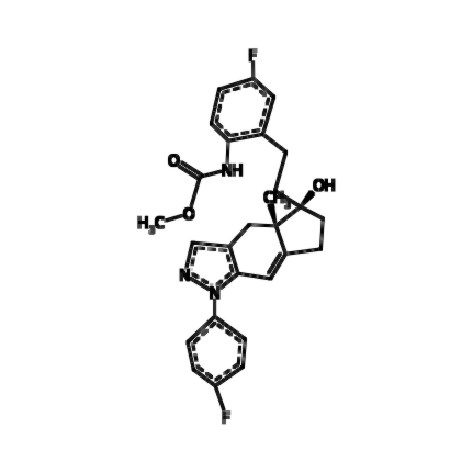 COC(=O)Nc1ccc(F)cc1CC[C@]1(O)CCC2=Cc3c(cnn3-c3ccc(F)cc3)C[C@@]21C